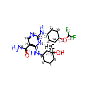 C[C@]1(O)CCC[C@@H](Nc2nc(N[C@H]3CC[C@H](OC(F)F)CC3)ncc2C(N)=O)C1